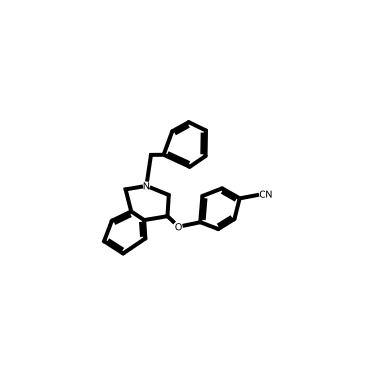 N#Cc1ccc(OC2CN(Cc3ccccc3)Cc3ccccc32)cc1